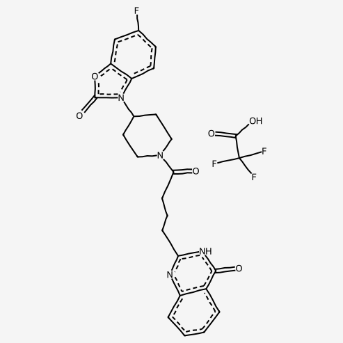 O=C(CCCc1nc2ccccc2c(=O)[nH]1)N1CCC(n2c(=O)oc3cc(F)ccc32)CC1.O=C(O)C(F)(F)F